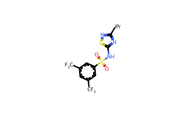 CC(C)c1nsc(NS(=O)(=O)c2cc(C(F)(F)F)cc(C(F)(F)F)c2)n1